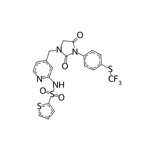 O=C1CN(Cc2ccnc(NS(=O)(=O)c3cccs3)c2)C(=O)N1c1ccc(SC(F)(F)F)cc1